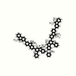 CC(C)(C)c1ccccc1N(c1ccc2c(c1)C(C)(C)c1cc(-c3ccc4c(c3)C(C)(C)c3cc(-c5ccc6c(c5)C(C)(C)c5ccccc5-6)ccc3-4)c3oc4ccccc4c3c1-2)c1ccc2c(c1)C(C)(C)c1cc(-c3ccc4c(c3)C(C)(C)c3cc(-c5ccc6c(c5)C(C)(C)c5ccccc5-6)ccc3-4)c3oc4ccccc4c3c1-2